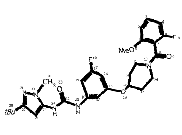 COc1cccc(F)c1C(=O)N1CCC(Oc2cc(F)cc(NC(=O)Nc3cc(C(C)(C)C)nn3C)c2)CC1